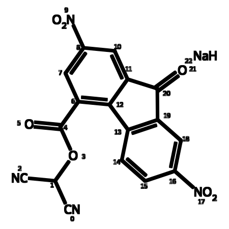 N#CC(C#N)OC(=O)c1cc([N+](=O)[O-])cc2c1-c1ccc([N+](=O)[O-])cc1C2=O.[NaH]